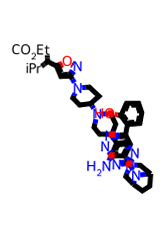 CCOC(=O)C(c1cc(N2CCC(N3CCC(c4cnc(N5C6CCC5CN(c5cc(-c7ccccc7O)nnc5N)C6)nc4)CC3)CC2)no1)C(C)C